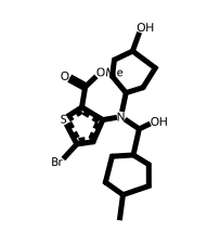 COC(=O)c1sc(Br)cc1N(C1CCC(O)CC1)C(O)C1CCC(C)CC1